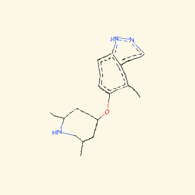 Cc1c(OC2CC(C)NC(C)C2)ccc2[nH]ncc12